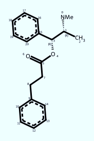 CN[C@H](C)[C@H](OC(=O)CCc1ccccc1)c1ccccc1